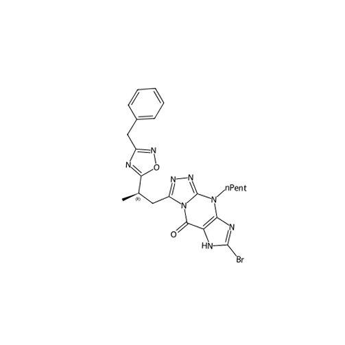 CCCCCn1c2nc(Br)[nH]c2c(=O)n2c(C[C@@H](C)c3nc(Cc4ccccc4)no3)nnc12